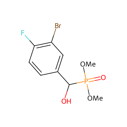 COP(=O)(OC)C(O)c1ccc(F)c(Br)c1